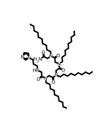 CCCCCCCCCCN(CC(N)=O)C(=O)CN(CCCCCCCCCC)C(=O)CN(CCCCCCCCCC)C(=O)CN(CCCCCCCCCC)C(=O)CNCCCn1ccnc1